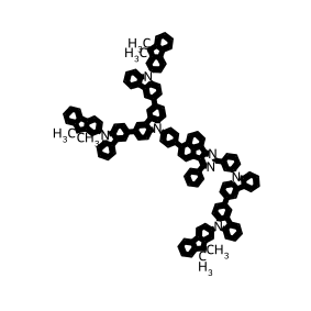 CC1(C)c2ccccc2-c2ccc(-n3c4ccccc4c4cc(-c5ccc6c(c5)c5ccccc5n6-c5cccc(-c6nc(-c7ccccc7)c7c(n6)-c6cccc8c(-c9ccc(-n%10c%11ccc(-c%12ccc%13c(c%12)c%12ccccc%12n%13-c%12ccc%13c(c%12)C(C)(C)c%12ccccc%12-%13)cc%11c%11cc(-c%12ccc%13c(c%12)c%12ccccc%12n%13-c%12ccc%13c(c%12)C(C)(C)c%12ccccc%12-%13)ccc%11%10)cc9)ccc-7c68)c5)ccc43)cc21